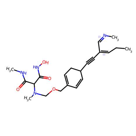 CC/C=C(C#CC1C=CC(COCN(C)C(C(=O)NC)C(=O)NO)=CC1)\C=N/C